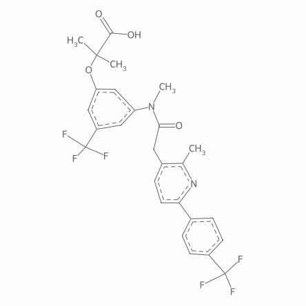 Cc1nc(-c2ccc(C(F)(F)F)cc2)ccc1CC(=O)N(C)c1cc(OC(C)(C)C(=O)O)cc(C(F)(F)F)c1